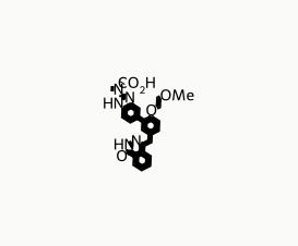 COCCOc1ccc(Cc2n[nH]c(=O)c3ccccc23)cc1-c1ccc2[nH]c(N(C)C(=O)O)nc2c1